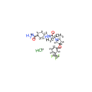 CC(C)(C(=O)NCC1CCC(C(N)=O)CC1)N1CC[C@@H](Oc2cccc(C(F)(F)F)c2)C1.Cl